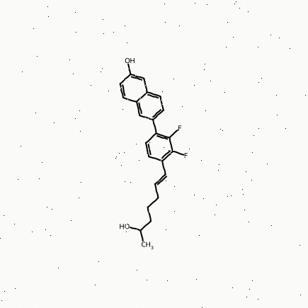 CC(O)CCCC=Cc1ccc(-c2ccc3cc(O)ccc3c2)c(F)c1F